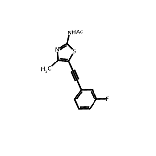 CC(=O)Nc1nc(C)c(C#Cc2cccc(F)c2)s1